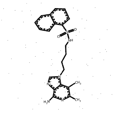 Cc1nc(N)c2ncn(CCCCNS(=O)(=O)c3cccc4ccccc34)c2c1C